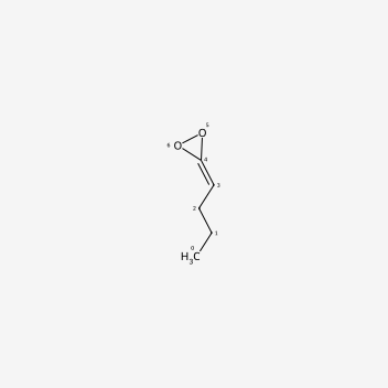 CCCC=C1OO1